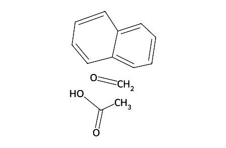 C=O.CC(=O)O.c1ccc2ccccc2c1